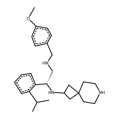 COc1ccc(CNC[C@H](NC2CC3(CCNCC3)C2)c2ccccc2C(C)C)cc1